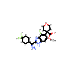 CC(C)(C)OC(=O)C1(c2ccc3[nH]c(C(N)C4CCC(F)(F)CC4)nc3c2F)CCOCC1